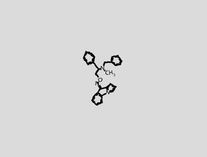 CN(Cc1ccccc1)C(CO/N=C1/c2ccccc2-n2cccc21)c1ccccc1